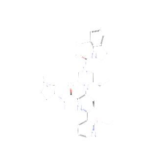 CCOc1ncccc1-c1ccc(N2CCN(C(=O)N3CCc4cc(F)cc(Cl)c43)C[C@H]2CC)c(C(=O)N[C@H]2CCN(C)C2)n1